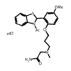 COc1ccc(OCCCN(C)CC(N)=O)c(C2Sc3ccccc3N2C(C)=O)c1.Cl